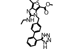 CCNc1nc2c(C)sc(C(=O)OC)c2n1Cc1ccc(-c2ccccc2-c2nnn[nH]2)cc1